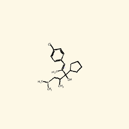 C/C(=C\c1ccc(Cl)cc1)C(O)(C(C)CN(C)C)C1CCCC1